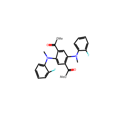 COC(=O)c1cc(N(C)c2ccccc2F)c(C(=O)OC)cc1N(C)c1ccccc1F